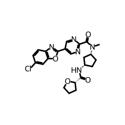 CN(C(=O)c1ncc(-c2nc3ccc(Cl)cc3o2)cn1)[C@@H]1CC[C@H](NC(=O)[C@@H]2CCCO2)C1